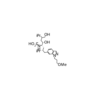 COCCCn1ncc2ccc(C[C@@H](C[C@H](NC(=O)O)[C@@H](O)C[C@H](CO)C(C)C)C(C)C)cc21